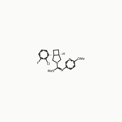 COc1ccc(/N=C(/SC)N2C[C@@H]3CC[C@]3(c3cccc(F)c3Cl)C2)cn1